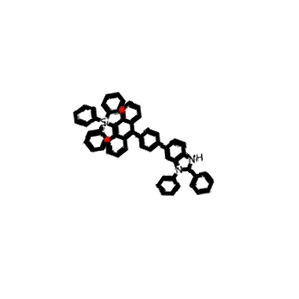 c1ccc(C2Nc3ccc(-c4ccc(-c5c6ccccc6c([Si](c6ccccc6)(c6ccccc6)c6ccccc6)c6ccccc56)cc4)cc3N2c2ccccc2)cc1